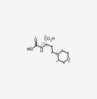 CC(C)(C)C(=O)N[C@@H](CCN1CCOCC1)C(=O)O